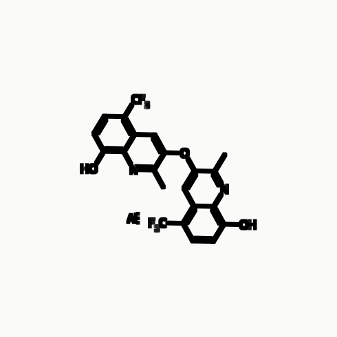 Cc1nc2c(O)ccc(C(F)(F)F)c2cc1Oc1cc2c(C(F)(F)F)ccc(O)c2nc1C.[Al]